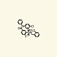 O=C(c1ccc(F)c(S(=O)(=O)NCc2ccccc2Cl)c1)N(c1ccccc1)c1ccc(Cl)cc1